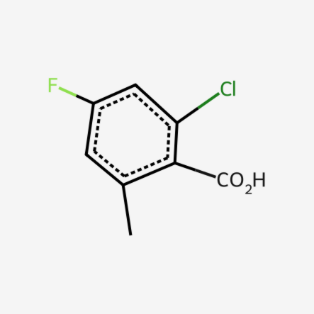 Cc1cc(F)cc(Cl)c1C(=O)O